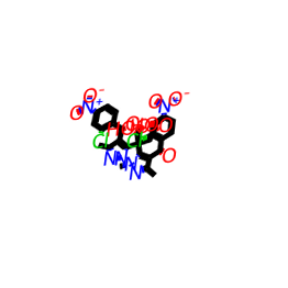 Cc1nn(C)c(C(CC(=O)O)(C(=O)O)c2c(C(=O)c3ccc([N+](=O)[O-])cc3Cl)c(C)nn2C)c1C(=O)c1ccc([N+](=O)[O-])cc1Cl